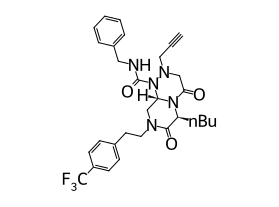 C#CCN1CC(=O)N2[C@@H](CCCC)C(=O)N(CCc3ccc(C(F)(F)F)cc3)C[C@@H]2N1C(=O)NCc1ccccc1